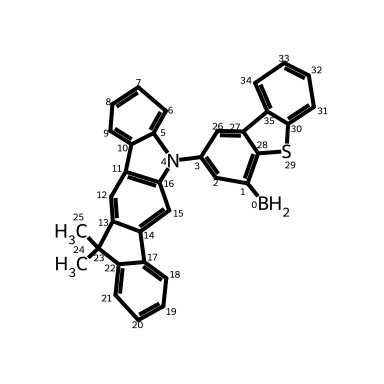 Bc1cc(-n2c3ccccc3c3cc4c(cc32)-c2ccccc2C4(C)C)cc2c1sc1ccccc12